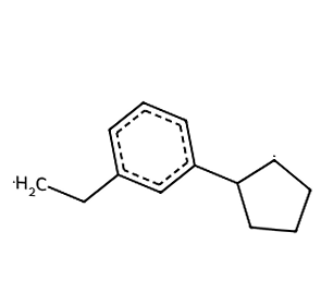 [CH2]Cc1cccc(C2[CH]CCC2)c1